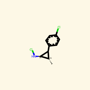 C[C@H]1C(c2ccc(Cl)cc2)[C@@H]1NCl